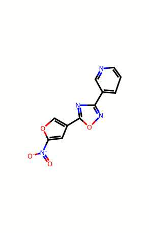 O=[N+]([O-])c1cc(-c2nc(-c3cccnc3)no2)co1